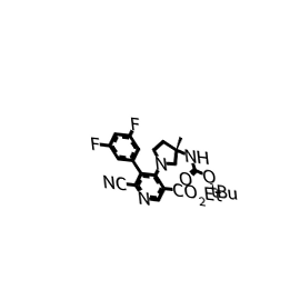 CCOC(=O)c1cnc(C#N)c(-c2cc(F)cc(F)c2)c1N1CC[C@](C)(NC(=O)OC(C)(C)C)C1